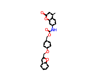 Cc1cc(=O)oc2cc(NC(=O)OCc3ccc(OCc4cc5ccccc5o4)cc3)ccc12